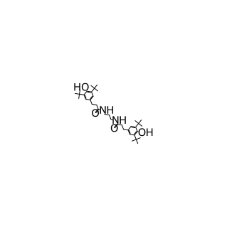 CC(C)(C)c1cc(CCC(=O)NCCCNC(=O)CCc2cc(C(C)(C)C)c(O)c(C(C)(C)C)c2)cc(C(C)(C)C)c1O